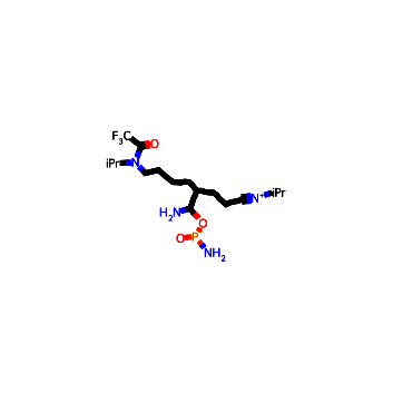 CC(C)[N+]#CCCC(CCCCN(C(=O)C(F)(F)F)C(C)C)C(N)OP(N)[O-]